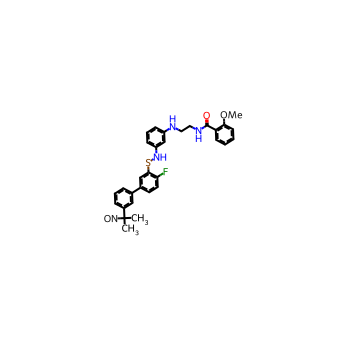 COc1ccccc1C(=O)NCCNc1cccc(NSc2cc(-c3cccc(C(C)(C)N=O)c3)ccc2F)c1